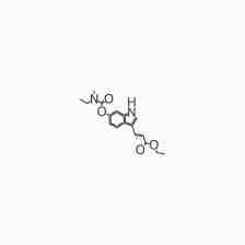 CCOC(=O)/C=C/c1c[nH]c2cc(OC(=O)N(C)CC)ccc12